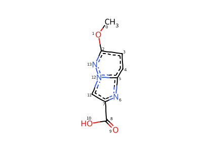 COc1ccc2nc(C(=O)O)cn2n1